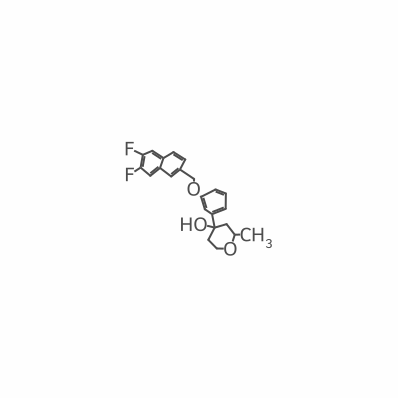 CC1CC(O)(c2cccc(OCc3ccc4cc(F)c(F)cc4c3)c2)CCO1